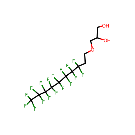 OCC(O)COCCC(F)(F)C(F)(F)C(F)(F)C(F)(F)C(F)(F)C(F)(F)C(F)(F)C(F)(F)F